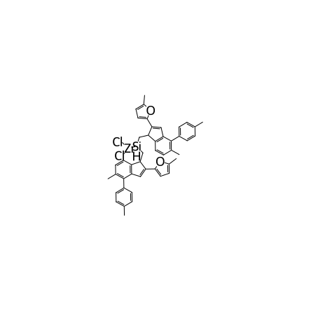 Cc1ccc(-c2c(C)ccc3c2C=C(c2ccc(C)o2)C3C[SiH](CC2C(c3ccc(C)o3)=Cc3c2ccc(C)c3-c2ccc(C)cc2)[Zr]([Cl])[Cl])cc1